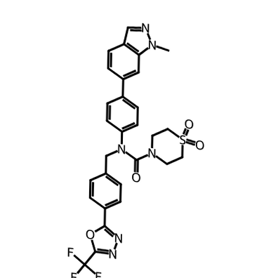 Cn1ncc2ccc(-c3ccc(N(Cc4ccc(-c5nnc(C(F)(F)F)o5)cc4)C(=O)N4CCS(=O)(=O)CC4)cc3)cc21